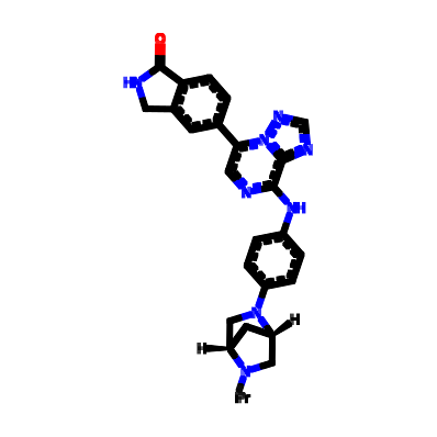 CC(C)N1C[C@@H]2C[C@H]1CN2c1ccc(Nc2ncc(-c3ccc4c(c3)CNC4=O)n3ncnc23)cc1